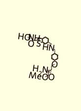 COC(=O)[C@@H](N)CCOc1ccc(CNCc2ccc3cc(C(=O)NO)sc3c2)cc1